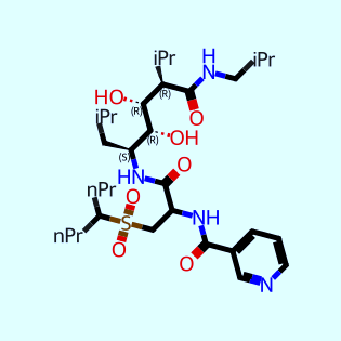 CCCC(CCC)S(=O)(=O)CC(NC(=O)c1cccnc1)C(=O)N[C@@H](CC(C)C)[C@@H](O)[C@H](O)[C@H](C(=O)NCC(C)C)C(C)C